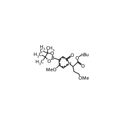 CCCCOC(=O)C(CCOC)n1cc(OC)c(B2OC(C)(C)C(C)(C)O2)cc1=O